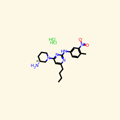 CCCCc1cc(N2CCC[C@@H](N)C2)nc(Nc2ccc(C)c([N+](=O)[O-])c2)n1.Cl.Cl